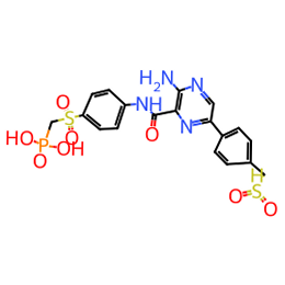 Nc1ncc(-c2ccc(C[SH](=O)=O)cc2)nc1C(=O)Nc1ccc(S(=O)(=O)CP(=O)(O)O)cc1